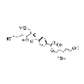 O=C(OC(CO)C(O)CCCO)c1ccc(C(=O)OC(CO)C(O)CCCO)cc1